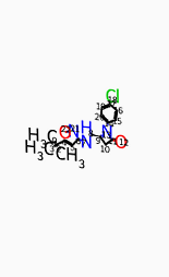 CC(C)(C)c1cc(NC[C@@H]2CC(=O)N2c2ccc(Cl)cc2)no1